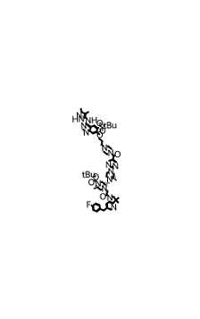 Cc1n[nH]c(Nc2ncnc3cc(OCCCN4CCN(C(=O)c5cnc(N6CCN(C[C@H]7CN(C(=O)OC(C)(C)C)[C@H](C)CN7CC(=O)N7CC(C)(C)c8ncc(Cc9ccc(F)cc9)cc87)[C@H](C)C6)nc5)CC4)c(S(=O)(=O)C(C)(C)C)cc23)c1C